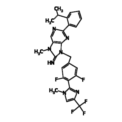 CC(C)c1ccccc1-c1ncc2c(n1)n(Cc1cc(F)c(-c3nc(C(F)(F)F)cn3C)c(F)c1)c(=N)n2C